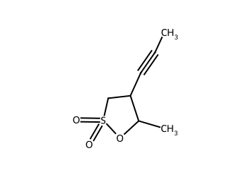 CC#CC1CS(=O)(=O)OC1C